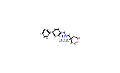 CCOC(=O)C1(CNCc2ccc(-c3ccccc3)cc2)CCOCC1